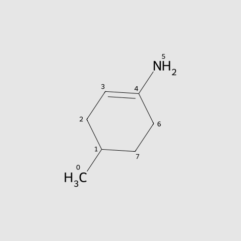 CC1CC=C(N)CC1